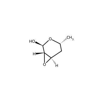 C[C@@H]1C[C@H]2O[C@@H]2[C@@H](O)O1